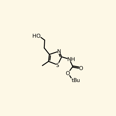 Cc1sc(NC(=O)OC(C)(C)C)nc1CCO